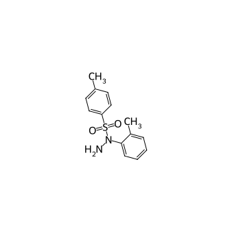 Cc1ccc(S(=O)(=O)N(N)c2ccccc2C)cc1